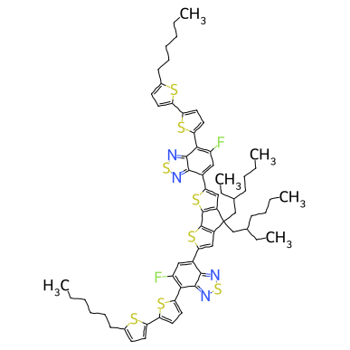 CCCCCCc1ccc(-c2ccc(-c3c(F)cc(-c4cc5c(s4)-c4sc(-c6cc(F)c(-c7ccc(-c8ccc(CCCCCC)s8)s7)c7nsnc67)cc4C5(CC(CC)CCCC)CC(CC)CCCC)c4nsnc34)s2)s1